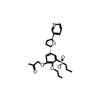 CCCOc1c(OCC(C)=O)cc([C@@H]2CC[C@@H](c3cccnc3)O2)cc1S(=O)(=O)CCC